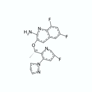 C[C@H](Oc1cc2cc(F)cc(F)c2nc1N)c1ncc(F)cc1-n1cccn1